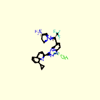 Cl.Cl.N[C@H]1CCN([C@H](c2ccc3nnc(-c4ccc5cccc(C6CC6)c5n4)n3c2)C(F)(F)F)C1